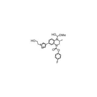 COC(O)N1c2ccc(-c3cnn(CCO)c3)cc2N(C(=O)Oc2ccc(F)cc2)C[C@@H]1C